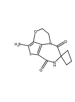 Bc1sc2c3c1OCCN3C(=O)C1(CCC1)NC2=O